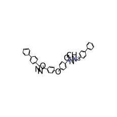 CO/C(=N\N=C\c1ccc(-c2ccccc2)cc1)c1ccc(Oc2ccc(-c3nnc(-c4ccc(-c5ccccc5)cc4)o3)cc2)cc1